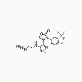 [N-]=[N+]=NCCNc1nonc1-c1noc(=O)n1-c1ccc(F)c(C(F)(F)F)c1